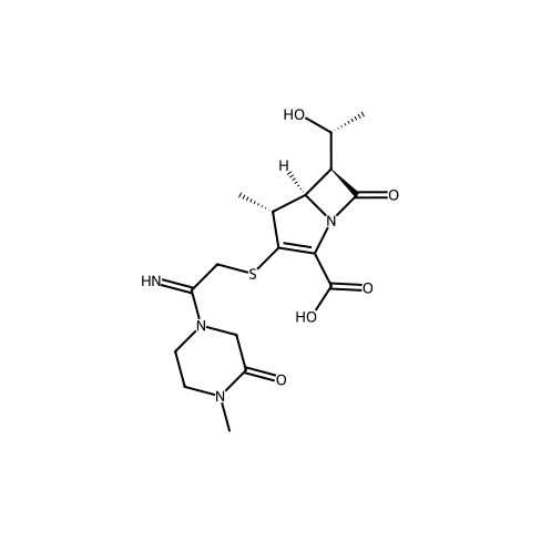 C[C@@H](O)[C@H]1C(=O)N2C(C(=O)O)=C(SCC(=N)N3CCN(C)C(=O)C3)[C@H](C)[C@@H]12